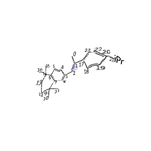 C/C(=C\c1ccc2c(c1)C(C)(C)CCC2(C)C)c1ccc(C(C)C)cc1